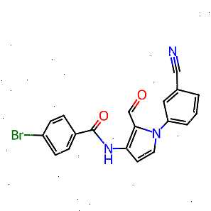 N#Cc1cccc(-n2ccc(NC(=O)c3ccc(Br)cc3)c2C=O)c1